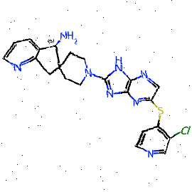 N[C@@H]1c2cccnc2CC12CCN(c1nc3nc(Sc4ccncc4Cl)cnc3[nH]1)CC2